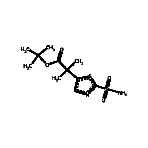 CC(C)(C)OC(=O)C(C)(C)c1cnc(S(N)(=O)=O)s1